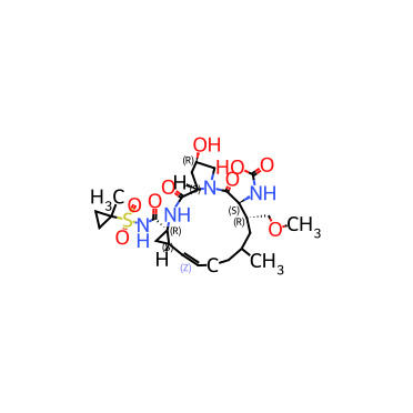 COC[C@@H]1CC(C)CC/C=C\[C@@H]2C[C@@]2(C(=O)NS(=O)(=O)C2(C)CC2)NC(=O)[C@@H]2C[C@@H](O)CN2C(=O)[C@H]1NC(=O)O